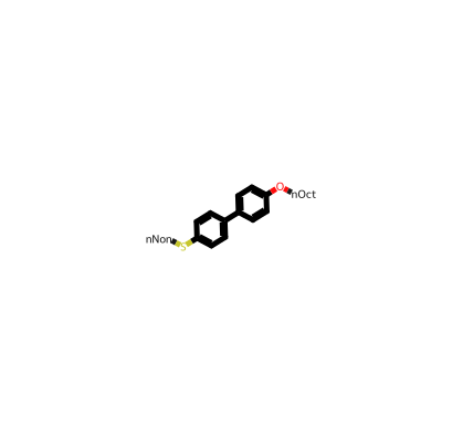 CCCCCCCCCSc1ccc(-c2ccc(OCCCCCCCC)cc2)cc1